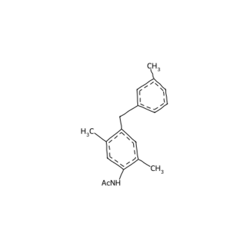 CC(=O)Nc1cc(C)c(Cc2cccc(C)c2)cc1C